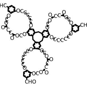 O=Cc1ccc2c(c1)OCOC(=O)CCC(=O)OCOc1cc3c(cc1OCCCCCO2)Cc1cc2c(cc1Cc1cc4c(cc1C3)OCCCCCOc1ccc(C=O)cc1OCOC(=O)CCC(=O)OCO4)OCCCCCOc1ccc(C=O)cc1OCOC(=O)CCC(=O)OCO2